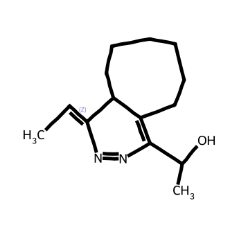 C/C=C1\N=NC(C(C)O)=C2CCCCCCC21